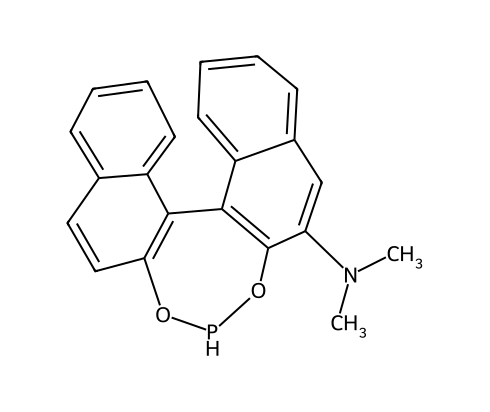 CN(C)c1cc2ccccc2c2c1o[pH]oc1ccc3ccccc3c12